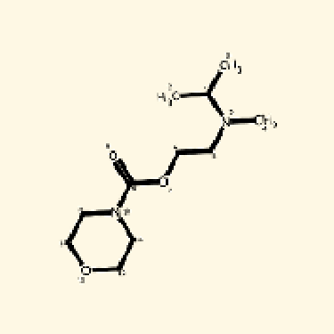 CC(C)N(C)CCOC(=O)N1CCOCC1